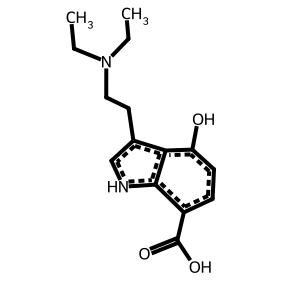 CCN(CC)CCc1c[nH]c2c(C(=O)O)ccc(O)c12